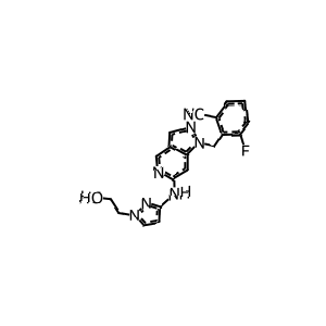 N#Cc1cccc(F)c1Cn1ncc2cnc(Nc3ccn(CCO)n3)cc21